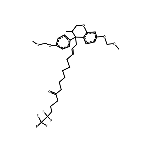 COCOc1ccc(C2(CC=CCCCCCCC(=O)CCCC(F)(F)C(F)(F)F)c3ccc(OCOC)cc3OCC2C)cc1